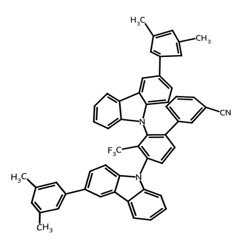 Cc1cc(C)cc(-c2ccc3c(c2)c2ccccc2n3-c2ccc(-c3cccc(C#N)c3)c(-n3c4ccccc4c4cc(-c5cc(C)cc(C)c5)ccc43)c2C(F)(F)F)c1